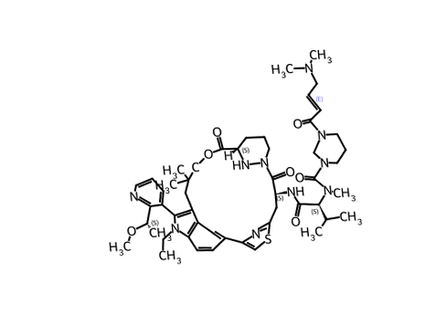 CCn1c(-c2cccnc2[C@H](C)OC)c2c3cc(ccc31)-c1csc(n1)C[C@H](NC(=O)[C@H](C(C)C)N(C)C(=O)N1CCCN(C(=O)/C=C/CN(C)C)C1)C(=O)N1CCC[C@H](N1)C(=O)OCC(C)(C)C2